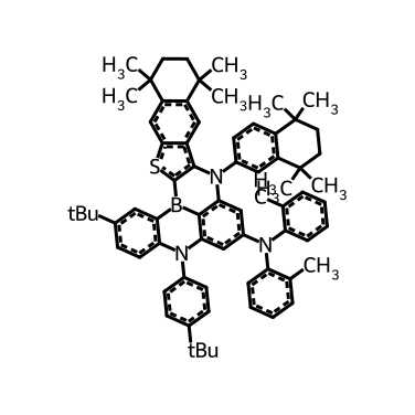 Cc1ccccc1N(c1cc2c3c(c1)N(c1ccc4c(c1)C(C)(C)CCC4(C)C)c1c(sc4cc5c(cc14)C(C)(C)CCC5(C)C)B3c1cc(C(C)(C)C)ccc1N2c1ccc(C(C)(C)C)cc1)c1ccccc1C